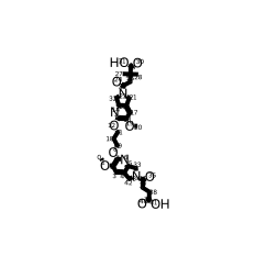 COc1cc2c(nc1OCCCOc1nc3c(cc1OC)CN(C(=O)CC(C)(C)C(=O)O)C3)CN(C(=O)CCC(=O)O)C2